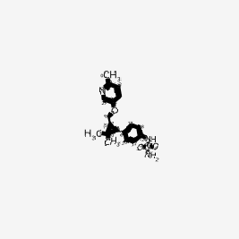 Cc1ccc(OC[C@H]2[C@H](c3ccc(NS(N)(=O)=O)cc3)C2(C)C)cn1